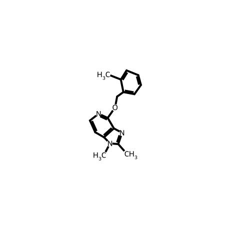 Cc1ccccc1COc1nccc2c1nc(C)n2C